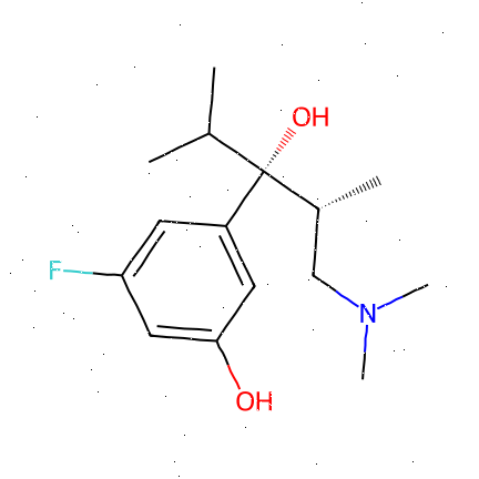 CC(C)[C@](O)(c1cc(O)cc(F)c1)[C@H](C)CN(C)C